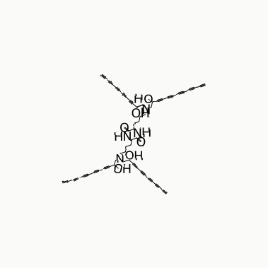 C#CC#CC#CC#CC#CC(O)CN(CCCCC1NC(=O)C(CCCCN(CC(O)C#CC#CC#CC#CC#C)CC(O)C#CC#CC#CC#CC#C)NC1=O)CC(O)C#CC#CC#CC#CC#C